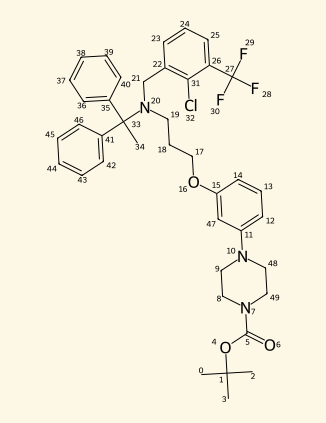 CC(C)(C)OC(=O)N1CCN(c2cccc(OCCCN(Cc3cccc(C(F)(F)F)c3Cl)C(C)(c3ccccc3)c3ccccc3)c2)CC1